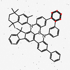 Cc1cc2c(cc1N1c3ccc(-c4ccccc4)cc3B3c4c(cc5c(c41)C(C)(C)c1ccccc1-5)-c1ccc(-c4ccccc4)cc1N3c1cccc(-c3ccccc3)c1)C(C)(C)CCC2(C)C